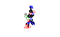 COc1ccc(C2C=NN=N2)cc1C(=O)N1CCC(CCN2CCC(NC(=O)N3CCOC(C(=O)O)C3)(c3ccncc3)CC2)(c2ccc(Cl)c(Cl)c2)C1